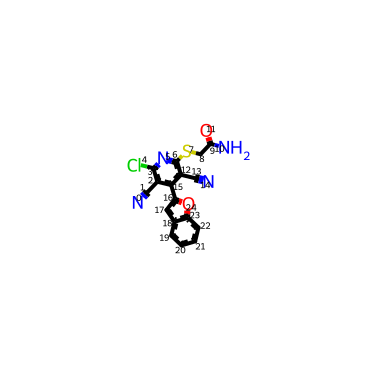 N#Cc1c(Cl)nc(SCC(N)=O)c(C#N)c1-c1cc2ccccc2o1